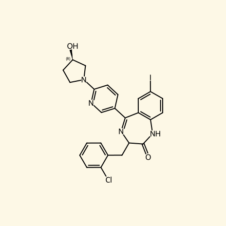 O=C1Nc2ccc(I)cc2C(c2ccc(N3CC[C@@H](O)C3)nc2)=NC1Cc1ccccc1Cl